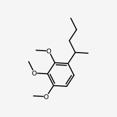 CCCC(C)c1ccc(OC)c(OC)c1OC